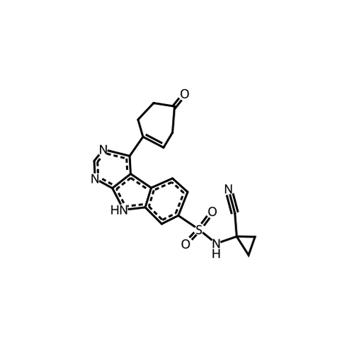 N#CC1(NS(=O)(=O)c2ccc3c(c2)[nH]c2ncnc(C4=CCC(=O)CC4)c23)CC1